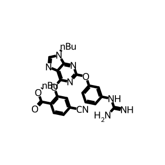 CCCCOC(=O)c1ccc(C#N)cc1Oc1nc(Oc2cccc(NC(=N)N)c2)nc2c1ncn2CCCC